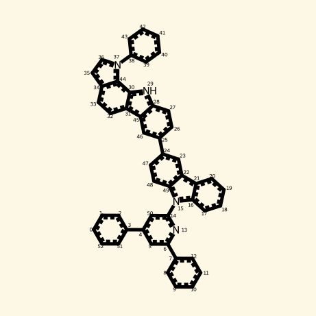 c1ccc(-c2cc(-c3ccccc3)nc(-n3c4ccccc4c4cc(-c5ccc6[nH]c7c(ccc8ccn(-c9ccccc9)c87)c6c5)ccc43)c2)cc1